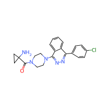 NC1(C(=O)N2CCN(c3nnc(-c4ccc(Cl)cc4)c4ccccc34)CC2)CC1